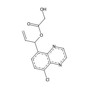 C=CC(OC(=O)CO)c1ccc(Cl)c2nccnc12